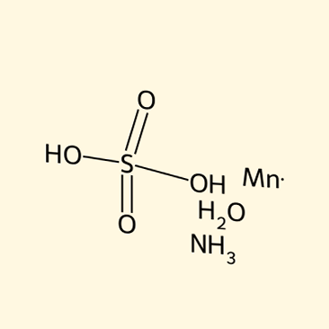 N.O.O=S(=O)(O)O.[Mn]